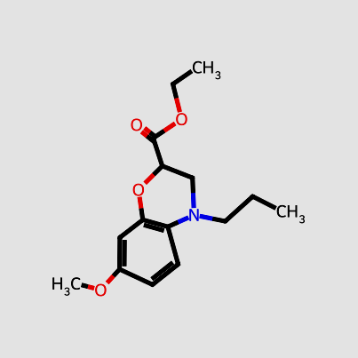 CCCN1CC(C(=O)OCC)Oc2cc(OC)ccc21